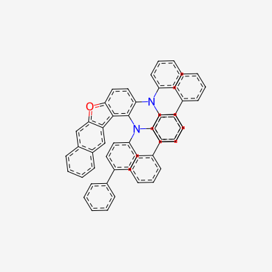 c1ccc(-c2ccc(N(c3ccccc3-c3ccccc3)c3c(N(c4ccccc4)c4ccccc4-c4ccccc4)ccc4oc5cc6ccccc6cc5c34)cc2)cc1